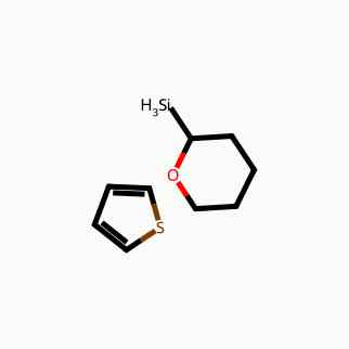 [SiH3]C1CCCCO1.c1ccsc1